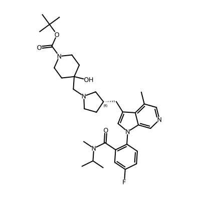 Cc1cncc2c1c(C[C@@H]1CCN(CC3(O)CCN(C(=O)OC(C)(C)C)CC3)C1)cn2-c1ccc(F)cc1C(=O)N(C)C(C)C